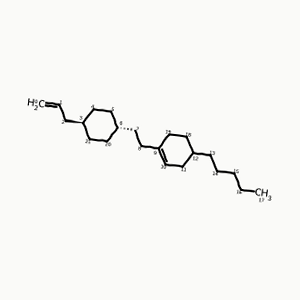 C=CC[C@H]1CC[C@H](CCC2=CCC(CCCCC)CC2)CC1